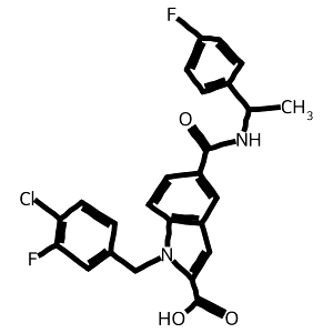 CC(NC(=O)c1ccc2c(c1)cc(C(=O)O)n2Cc1ccc(Cl)c(F)c1)c1ccc(F)cc1